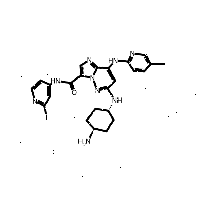 Cc1ccc(Nc2cc(N[C@H]3CC[C@H](N)CC3)nn3c(C(=O)Nc4ccnc(I)c4)cnc23)nc1